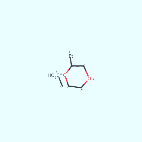 CC(=O)O.CCC1COCCO1